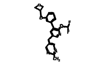 Cc1ncc(Cc2cnc(OC(F)F)c(-c3cccc(OC4COC4)c3)c2)cn1